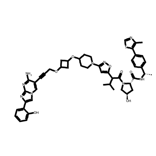 Cc1ncsc1-c1ccc([C@H](C)NC(=O)[C@@H]2C[C@@H](O)CN2C(=O)C(c2cc(N3CCC(OC4CC(OCC#Cc5cn6cc(-c7ccccc7O)nc6nc5N)C4)CC3)no2)C(C)C)cc1